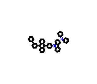 c1ccc(-c2cccc(-c3c4ccccc4c(-c4ccc(-n5c6ccccc6c6cc(N(c7ccccc7)c7ccccc7)ccc65)cc4)c4ccccc34)c2)cc1